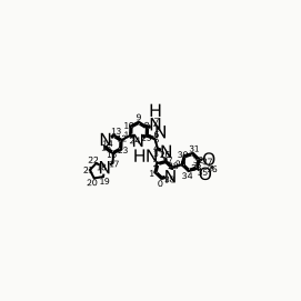 c1cc2[nH]c(-c3n[nH]c4ccc(-c5cncc(CN6CCCC6)c5)nc34)nc2c(-c2ccc3c(c2)OCO3)n1